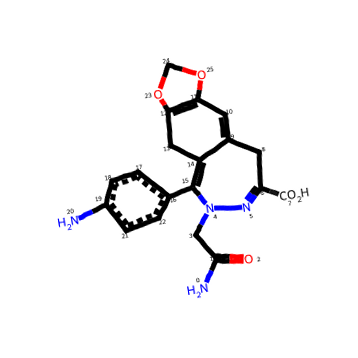 NC(=O)CN1N=C(C(=O)O)CC2=CC3=C(CC2=C1c1ccc(N)cc1)OCO3